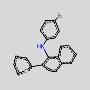 Brc1ccc(Nc2c(-c3ccccc3)ccc3ccccc23)cc1